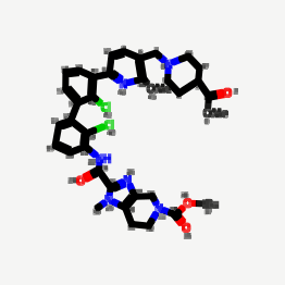 COC(=O)C1CCN(Cc2ccc(-c3cccc(-c4cccc(NC(=O)c5nc6c(n5C)CCN(C(=O)OC(C)(C)C)C6)c4Cl)c3Cl)nc2OC)CC1